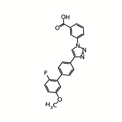 COc1ccc(F)c(-c2ccc(-c3cn(-c4cccc(C(=O)O)c4)nn3)cc2)c1